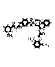 Cc1cccc(C)c1OCC(=O)N[C@@H](Cc1ccccc1)[C@H](O)CN(CC(C)C)S(=O)(=O)c1ccc2nc(NC(=O)C3CCCN(C)C3)sc2c1